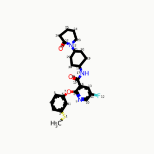 CSc1cccc(Oc2ncc(F)cc2C(=O)NC2CCC(N3CCCCC3=O)CC2)c1